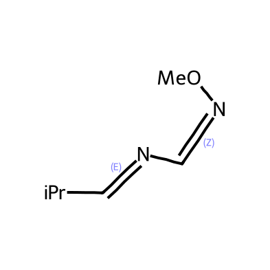 CO/N=C\N=C\C(C)C